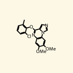 COc1cc2nc(Oc3c(C)cccc3Cl)c3cncn3c2cc1OC